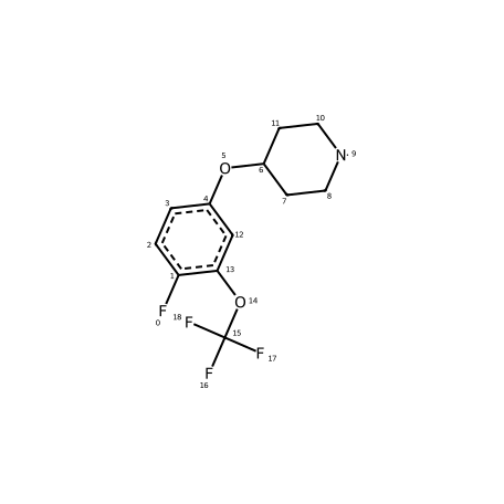 Fc1ccc(OC2CC[N]CC2)cc1OC(F)(F)F